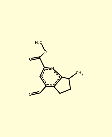 COC(=O)c1cc(C=O)c2c(n1)C(C)CC2